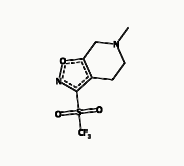 CN1CCc2c(S(=O)(=O)C(F)(F)F)noc2C1